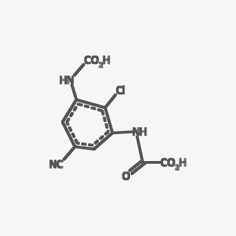 N#Cc1cc(NC(=O)O)c(Cl)c(NC(=O)C(=O)O)c1